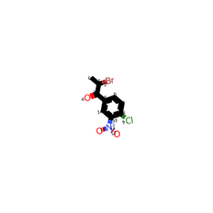 CC(Br)C(=O)c1ccc(Cl)c([N+](=O)[O-])c1